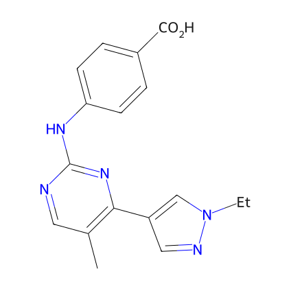 CCn1cc(-c2nc(Nc3ccc(C(=O)O)cc3)ncc2C)cn1